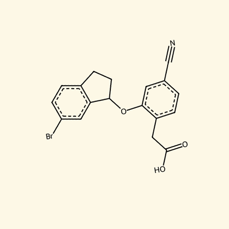 N#Cc1ccc(CC(=O)O)c(OC2CCc3ccc(Br)cc32)c1